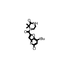 CC(C)(C)c1cc(Cl)nc2cc(C(=O)N3CCNC(=O)C3(C)C)oc12